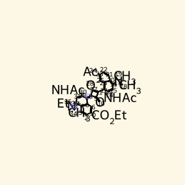 CCOC(=O)c1ccc2c(c1)/C(=C1\C(=O)C(c3c(NC(C)=O)cc(N(C)C)c4ccc(C(C)=O)cc34)=C1[O-])C(NC(C)=O)=C/C2=[N+](/C)CC